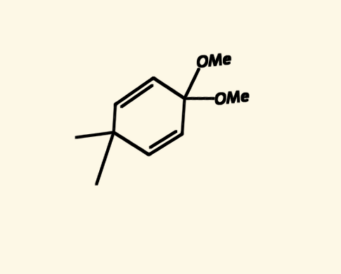 COC1(OC)C=CC(C)(C)C=C1